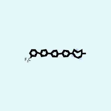 CC1\C=C/C=C(c2ccc(-c3ccc(-c4ccc(-c5cccc(C(F)(F)F)c5)cc4)cc3)cc2)\C=C\C1